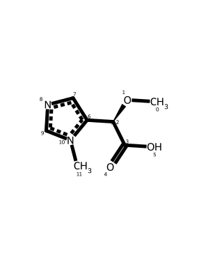 CO[C@@H](C(=O)O)c1cncn1C